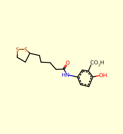 O=C(CCCCC1CCSS1)Nc1ccc(O)c(C(=O)O)c1